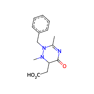 CC1=NC(=O)C(CC(=O)O)N(C)N1Cc1ccccc1